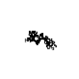 CC(C)(C)OC(=O)N1CCN(c2ncnc3[nH]cc(C4CC4)c23)C2CC21